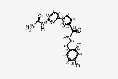 NC(=O)Nc1nccc(-c2ccc(C(=O)NCCc3ccc(Cl)cc3Cl)s2)n1